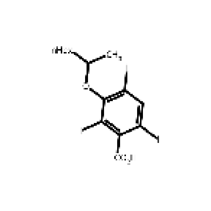 CCCCCCC(C)Oc1c(I)cc(I)c(C(=O)O)c1I